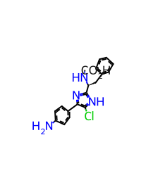 Nc1ccc(-c2nc([C@H](Cc3ccccc3)NC(=O)O)[nH]c2Cl)cc1